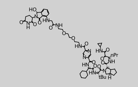 CCC[C@H](NC(=O)[C@@H]1C2CCC[C@H]2CN1C(=O)[C@@H](NC(=O)[C@@H](NC(=O)c1cnc(C(=O)NCCOCCOCCNC(=O)CNc2cccc3c2C(=O)N(C2CCC(=O)NC2=O)C3O)cn1)C1CCCCC1)C(C)(C)C)C(=O)C(=O)NC1CC1